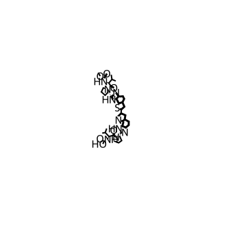 COC(=O)N[C@H](C(=O)N1CCC[C@H]1c1nc2ccc3cc(-c4cnc5c(ccc6nc([C@@H]7CCCN7C(=O)[C@@H](NC(=O)O)C(C)C)[nH]c65)c4)sc3c2[nH]1)C(C)C